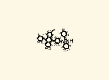 Cc1ccc2c(-c3ccccc3)c3ccccc3c(-c3ccc(N4C5CCCCC5NC4C4C=CCCC4)cc3)c2c1